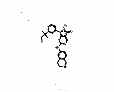 CC(C)n1c(=O)c2cnc(Nc3ccc4c(c3)CCNC4)nc2n1-c1ccnc(C(C)(C)CF)c1